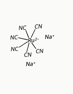 N#[C][Ru-2]([C]#N)([C]#N)([C]#N)([C]#N)[C]#N.[Na+].[Na+]